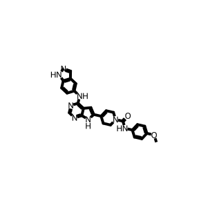 COc1ccc(NC(=O)N2CC=C(c3cc4c(Nc5ccc6[nH]ncc6c5)ncnc4[nH]3)CC2)cc1